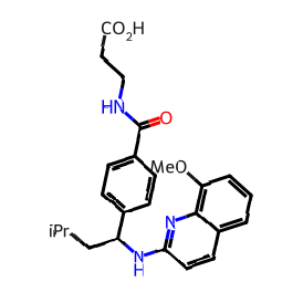 COc1cccc2ccc(NC(CC(C)C)c3ccc(C(=O)NCCC(=O)O)cc3)nc12